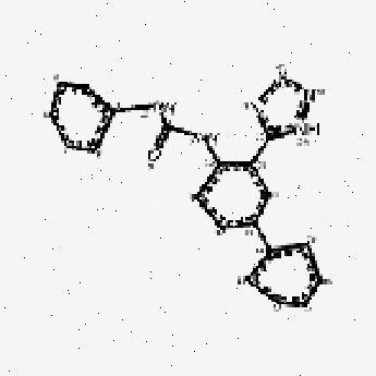 O=C(Nc1ccccc1)Nc1ccc(-c2ccccc2)cc1-c1nnn[nH]1